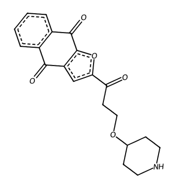 O=C(CCOC1CCNCC1)c1cc2c(o1)C(=O)c1ccccc1C2=O